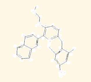 COCOc1ccc(Cc2c(C)cc(O)cc2C)nc1-c1ccc2ccccc2c1